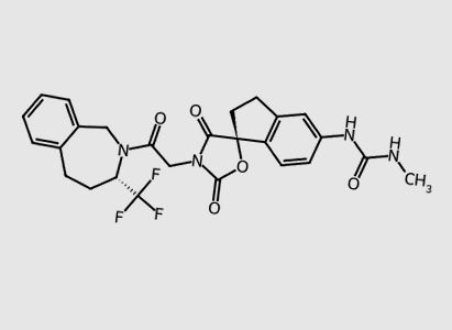 CNC(=O)Nc1ccc2c(c1)CC[C@]21OC(=O)N(CC(=O)N2Cc3ccccc3CC[C@H]2C(F)(F)F)C1=O